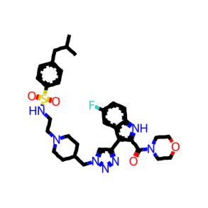 CC(C)Cc1ccc(S(=O)(=O)NCCN2CCC(Cn3cc(-c4c(C(=O)N5CCOCC5)[nH]c5ccc(F)cc45)nn3)CC2)cc1